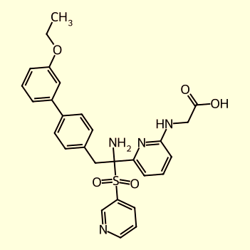 CCOc1cccc(-c2ccc(CC(N)(c3cccc(NCC(=O)O)n3)S(=O)(=O)c3cccnc3)cc2)c1